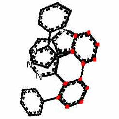 c1ccc(-c2ccccc2-c2c(-c3ccccc3)nnnc2-c2c(-c3ccccc3)cccc2-c2cccc3sc4ccccc4c23)cc1